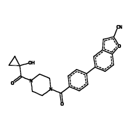 N#Cc1cc2cc(-c3ccc(C(=O)N4CCN(C(=O)C5(O)CC5)CC4)cc3)ccc2o1